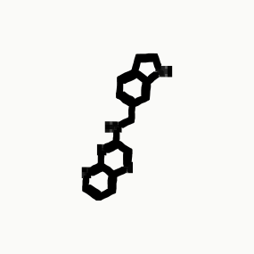 c1cnc2nc(NCc3ccc4cc[nH]c4c3)cnc2c1